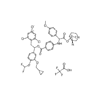 COc1ccc(C(Nc2ccc(C(=O)OC(Cc3c(Cl)c[n+]([O-])cc3Cl)c3ccc(OC(F)F)c(OCC4CC4)c3)cc2)C(=O)O[C@H]2CN3CCC2CC3)cc1.O=C(O)C(F)(F)F